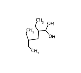 CCC(CC)CC(CC)C(O)O